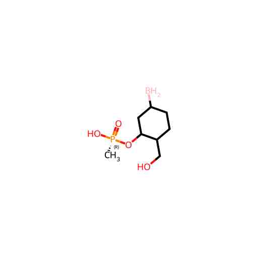 BC1CCC(CO)C(O[P@](C)(=O)O)C1